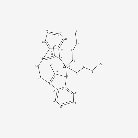 CCC[CH2][Zr]1([CH2]CCC)[CH]2C(C)=C(CCC3=C(C)[CH]1c1ccccc13)c1ccccc12